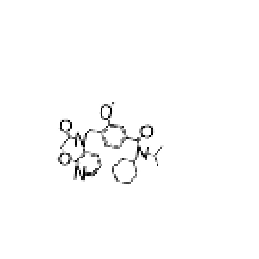 COc1cc(C(=O)N(C(C)C)C2CCCCC2)ccc1CN1C(=O)COc2ncccc21